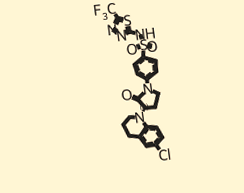 O=C1[C@H](N2CCCc3cc(Cl)ccc32)CCN1c1ccc(S(=O)(=O)Nc2nnc(C(F)(F)F)s2)cc1